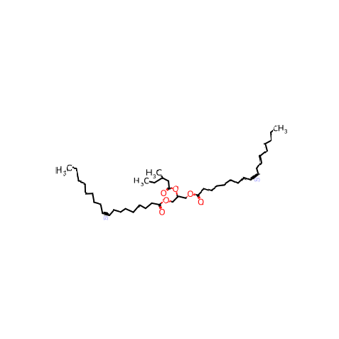 CCCCCCCC/C=C\CCCCCCCC(=O)OCC(COC(=O)CCCCCCC/C=C\CCCCCCCC)OC(=O)CC(C)CC